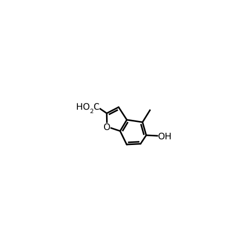 Cc1c(O)ccc2oc(C(=O)O)cc12